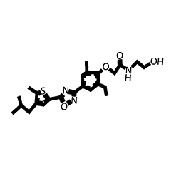 CCc1cc(-c2noc(-c3cc(CC(C)C)c(C)s3)n2)cc(C)c1OCC(=O)NCCO